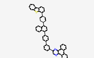 C1=CC(c2ccc(-c3ccc(-c4cccc(-c5cnc6c7ccccc7c7ccccc7c6n5)c4)cc3)c3ccccc23)CC=C1c1cccc2c1sc1ccccc12